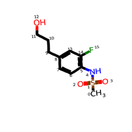 CS(=O)(=O)Nc1ccc(CCCO)cc1F